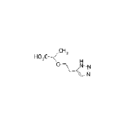 CC(OCCc1cnn[nH]1)C(=O)O